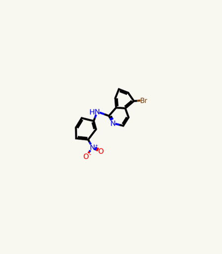 O=[N+]([O-])c1cccc(Nc2nccc3c(Br)cccc23)c1